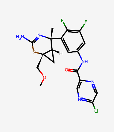 COC[C@]12C[C@H]1[C@@](C)(c1cc(NC(=O)c3cnc(Cl)cn3)cc(F)c1F)N=C(N)S2